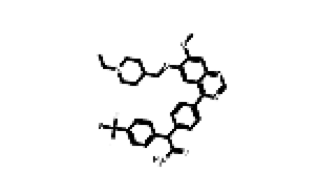 CCN1CCC(COc2cc3c(-c4ccc(C(C(N)=O)c5ccc(C(F)(F)F)cc5)cc4)ncnc3cc2OC)CC1